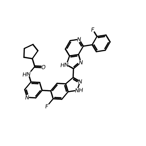 O=C(Nc1cncc(-c2cc3c(-c4nc5c(-c6ccccc6F)nccc5[nH]4)n[nH]c3cc2F)c1)C1CCCC1